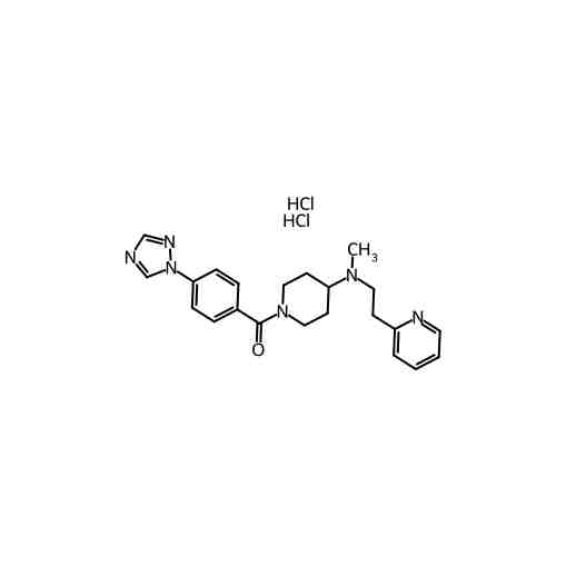 CN(CCc1ccccn1)C1CCN(C(=O)c2ccc(-n3cncn3)cc2)CC1.Cl.Cl